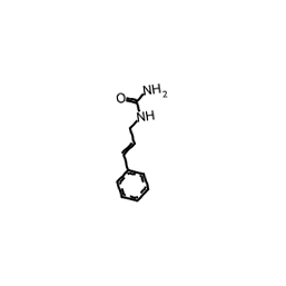 NC(=O)NCC=Cc1ccccc1